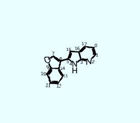 c1cnc2[nH]c(-c3coc4ccccc34)cc2c1